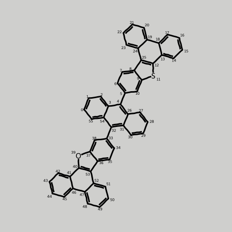 c1ccc2c(-c3ccc4c(c3)sc3c5ccccc5c5ccccc5c43)c3ccccc3c(-c3ccc4c(c3)oc3c5ccccc5c5ccccc5c43)c2c1